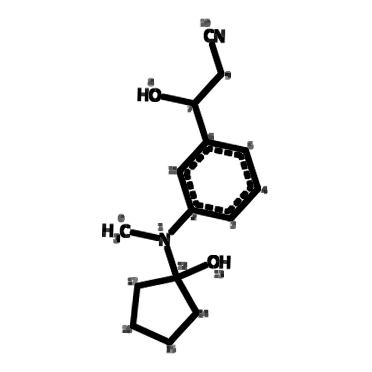 CN(c1cccc(C(O)CC#N)c1)C1(O)CCCC1